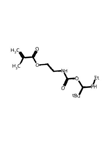 C=C(C)C(=O)OCCNC(=O)OC(PCC)C(C)(C)C